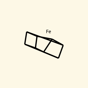 C12C3C4C1C1C2C3C41.[Fe]